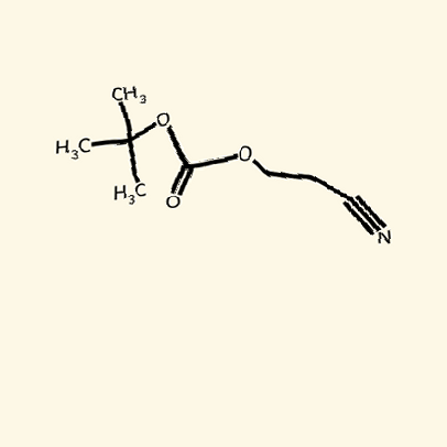 CC(C)(C)OC(=O)OCCC#N